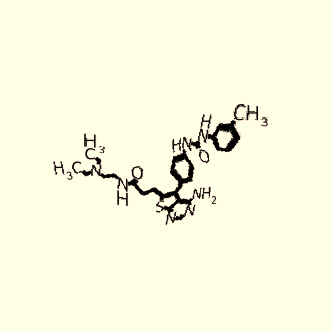 CCN(CC)CCNC(=O)CCc1sc2ncnc(N)c2c1-c1ccc(NC(=O)Nc2cccc(C)c2)cc1